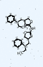 CCN(C[C@H]1COC(NC2=N[C@@H](CN(CC)c3ccccc3)CO2)=N1)c1ccccc1